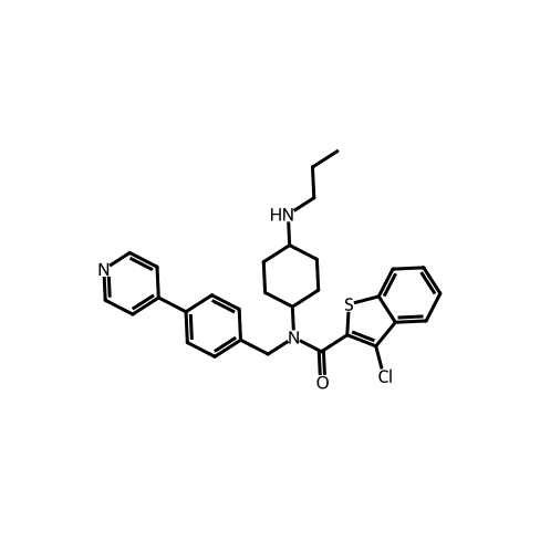 CCCNC1CCC(N(Cc2ccc(-c3ccncc3)cc2)C(=O)c2sc3ccccc3c2Cl)CC1